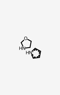 C1COCN1.c1cc[nH]c1